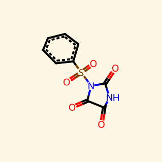 O=C1NC(=O)N(S(=O)(=O)c2ccccc2)C1=O